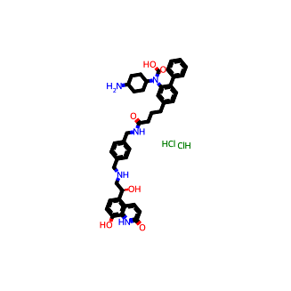 Cl.Cl.NC1CCC(N(C(=O)O)c2cc(CCCC(=O)NCc3ccc(CNC[C@@H](O)c4ccc(O)c5[nH]c(=O)ccc45)cc3)ccc2-c2ccccc2)CC1